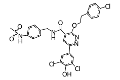 CS(=O)(=O)Nc1ccc(CNC(=O)c2cc(-c3cc(Cl)c(O)c(Cl)c3)nnc2OCCc2ccc(Cl)cc2)cc1